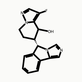 OC1c2c(F)cnn2CCC1[C@H]1c2ccccc2-c2cncn21